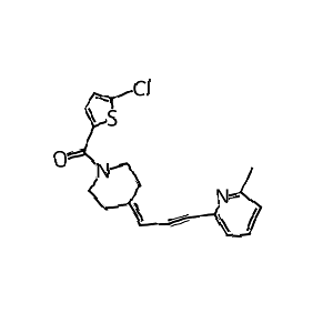 Cc1cccc(C#CC=C2CCN(C(=O)c3ccc(Cl)s3)CC2)n1